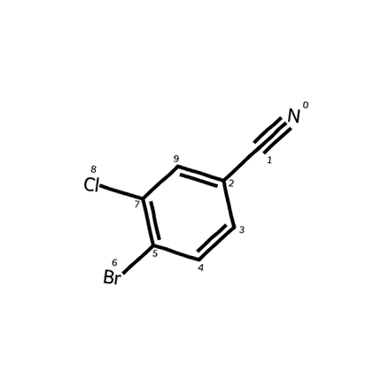 N#Cc1ccc(Br)c(Cl)c1